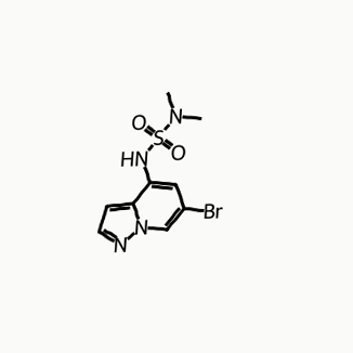 CN(C)S(=O)(=O)Nc1cc(Br)cn2nccc12